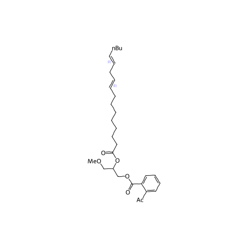 CCCC/C=C/C/C=C/CCCCCCCC(=O)OC(COC)COC(=O)c1ccccc1C(C)=O